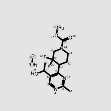 CCO.Cc1ncc(C(C)O)c(C2CCN(C(=O)OC(C)(C)C)CC2(F)F)n1